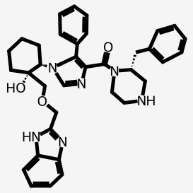 O=C(c1ncn([C@H]2CCCC[C@]2(O)COCc2nc3ccccc3[nH]2)c1-c1ccccc1)N1CCNC[C@H]1Cc1ccccc1